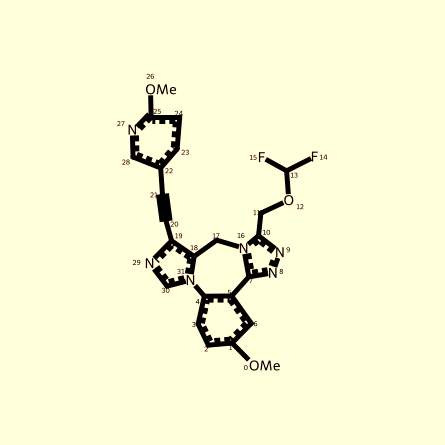 COc1ccc2c(c1)-c1nnc(COC(F)F)n1Cc1c(C#Cc3ccc(OC)nc3)ncn1-2